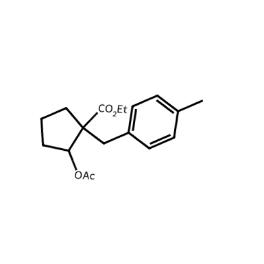 CCOC(=O)C1(Cc2ccc(C)cc2)CCCC1OC(C)=O